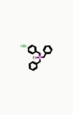 Br.CC[PH](Cc1ccccc1)(Cc1ccccc1)Cc1ccccc1